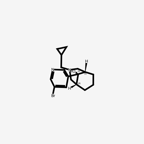 O[C@]1(c2cncc(Br)c2)[C@@H]2CCC[C@H]1CN(CC1CC1)C2